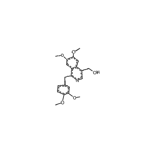 COc1ccc(Cc2ncc(CO)c3cc(OC)c(OC)cc23)cc1OC